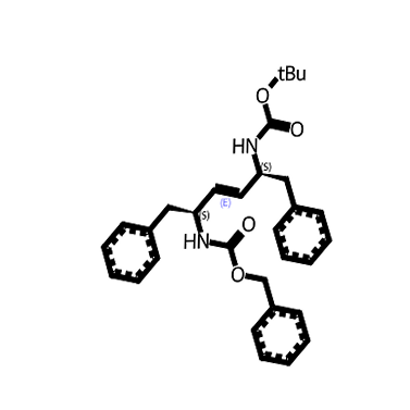 CC(C)(C)OC(=O)N[C@H](/C=C/[C@H](Cc1ccccc1)NC(=O)OCc1ccccc1)Cc1ccccc1